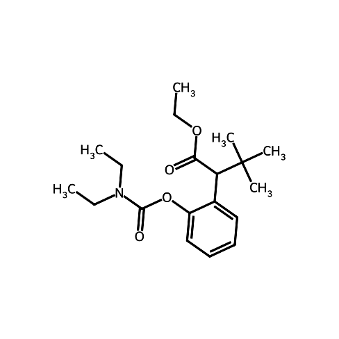 CCOC(=O)C(c1ccccc1OC(=O)N(CC)CC)C(C)(C)C